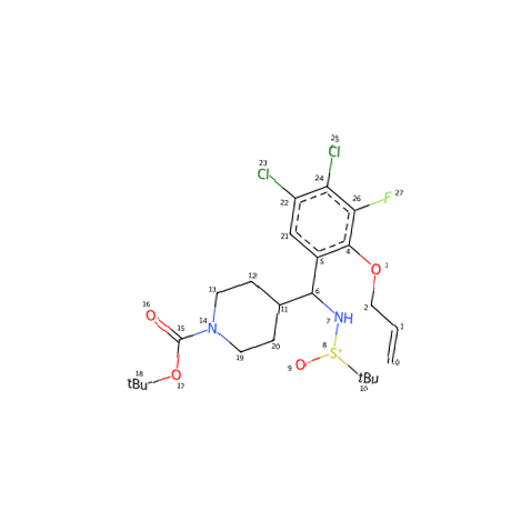 C=CCOc1c(C(N[S+]([O-])C(C)(C)C)C2CCN(C(=O)OC(C)(C)C)CC2)cc(Cl)c(Cl)c1F